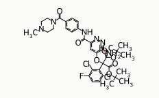 CN1CCN(C(=O)c2ccc(NC(=O)c3cc(OC(C(=O)OC(C)(C)C)(C(=O)OC(C)(C)C)c4c(Cl)ccc(F)c4Cl)c(N)nn3)cc2)CC1